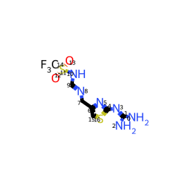 NC(N)=Nc1nc(C/N=C/NS(=O)(=O)C(F)(F)F)cs1